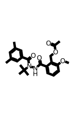 COc1cccc(C(=O)NN(C(=O)c2cc(C)cc(C)c2)C(C)(C)C)c1COC(C)=O